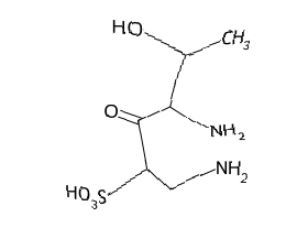 CC(O)C(N)C(=O)C(CN)S(=O)(=O)O